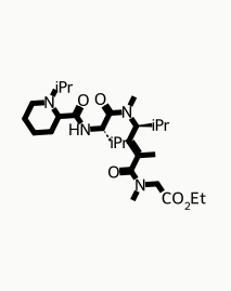 CCOC(=O)CN(C)C(=O)/C(C)=C/[C@H](C(C)C)N(C)C(=O)[C@@H](NC(=O)C1CCCCN1C(C)C)C(C)C